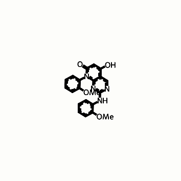 COc1ccccc1Nc1ncc2c(O)cc(=O)n(-c3ccccc3OC)c2n1